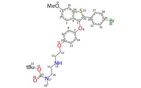 COc1ccc2c(Oc3ccc(OCCNCCN(C)C(=O)OC(C)(C)C)cc3)c(-c3ccc(Br)cc3)sc2c1